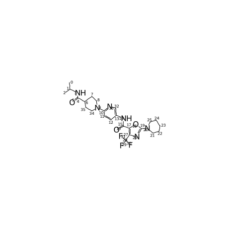 CC(C)NC(=O)C1CCN(c2ccc(NC(=O)c3oc(N4CCCCC4)nc3C(F)(F)F)cn2)CC1